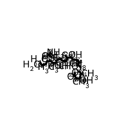 C=C/C=C\[C@H](C)[C@H](OC(N)=O)[C@@H](C)[C@H](O)[C@@H](C)C/C(C)=C\C(C)[C@@H](O)[C@@H](C)/C=C\[C@@H](O)C[C@@H]1OC(=O)[C@H](C)[C@@H](O)[C@H]1C